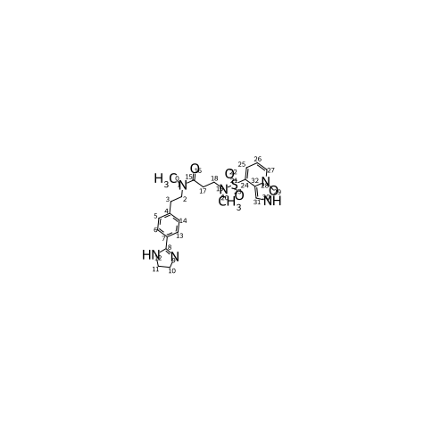 CN(CCc1ccc(C2=NCCN2)cc1)C(=O)CCN(C)S(=O)(=O)C1=CC=CN2ONC=C12